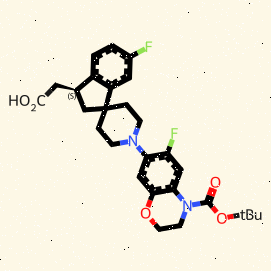 CC(C)(C)OC(=O)N1CCOc2cc(N3CCC4(CC3)C[C@@H](CC(=O)O)c3ccc(F)cc34)c(F)cc21